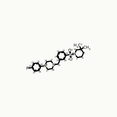 CC1(C)CCCN(S(=O)(=O)c2cccc(CN3CCN(c4ccc(F)cc4)CC3)c2)C1